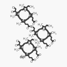 C=CC1=C(C)c2cc3[nH]c(cc4nc(cc5[nH]c(cc1n2)c(C)c5CCC(=O)[O-])C(CCC(=O)[O-])=C4C)c(C)c3C(Cl)CCl.C=CC1=C(C)c2cc3[nH]c(cc4nc(cc5[nH]c(cc1n2)c(C)c5CCC(=O)[O-])C(CCC(=O)[O-])=C4C)c(C)c3C(Cl)CCl.C=CC1=C(C)c2cc3[nH]c(cc4nc(cc5[nH]c(cc1n2)c(C)c5CCC(=O)[O-])C(CCC(=O)[O-])=C4C)c(C)c3C(Cl)CCl.[Ga+3].[Ga+3]